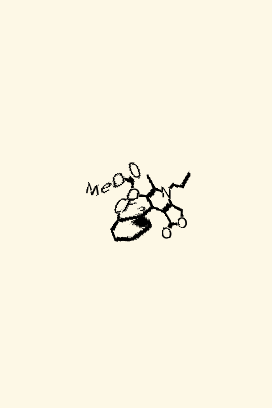 C=CCN1C(C)=C(OC(=O)OC)C(c2ccccc2C(F)(F)F)C2=C1COC2=O